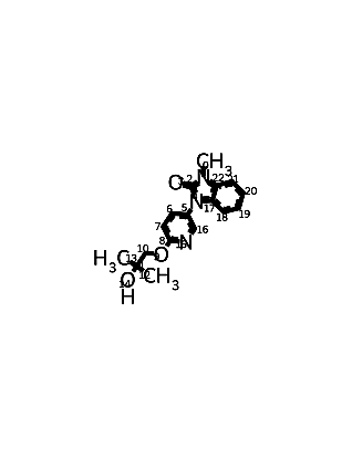 Cn1c(=O)n(-c2ccc(OCC(C)(C)O)nc2)c2ccccc21